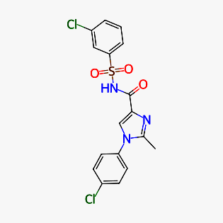 Cc1nc(C(=O)NS(=O)(=O)c2cccc(Cl)c2)cn1-c1ccc(Cl)cc1